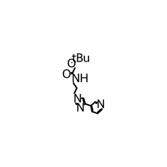 CC(C)(C)OCC(=O)NCCCn1cnc(-c2cccnc2)c1